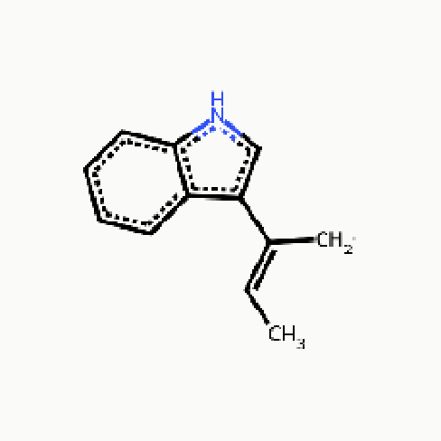 [CH2]C(=CC)c1c[nH]c2ccccc12